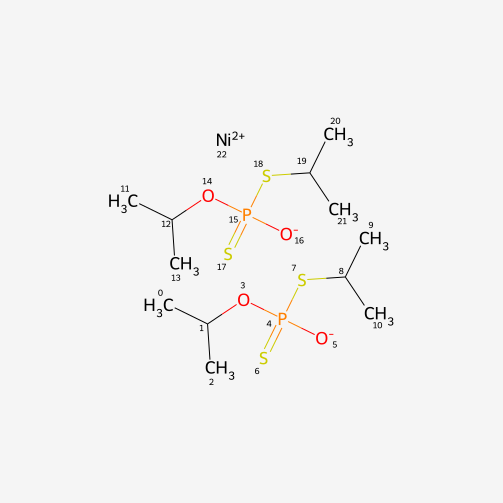 CC(C)OP([O-])(=S)SC(C)C.CC(C)OP([O-])(=S)SC(C)C.[Ni+2]